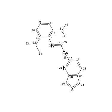 C[C](=Nc1c(C(C)C)cccc1C(C)C)[Fe][c]1ccc2c(n1)C=C=C2